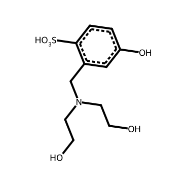 O=S(=O)(O)c1ccc(O)cc1CN(CCO)CCO